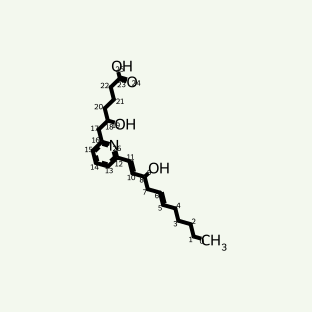 CCCCCC=CCC(O)C=Cc1cccc(CC(O)CCCC(=O)O)n1